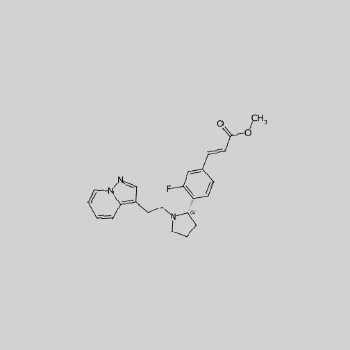 COC(=O)C=Cc1ccc([C@@H]2CCCN2CCc2cnn3ccccc23)c(F)c1